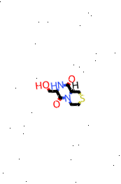 O=C1NC(CO)C(=O)N2CCSC[C@@H]12